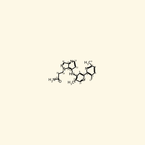 Cc1ccc(F)c(-c2cc(Nc3ccnc4cnn(CCC(N)=O)c34)c(C)cn2)n1